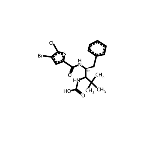 CC(C)(C)C(NC(=O)O)[C@H](Cc1ccccc1)NC(=O)c1cc(Br)c(Cl)s1